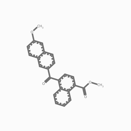 COC(=O)c1ccc(C(=O)c2ccc3cc(OC)ccc3c2)c2ccccc12